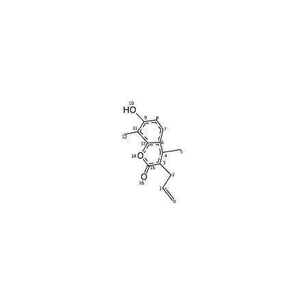 C=CCc1c(C)c2ccc(O)c(C)c2oc1=O